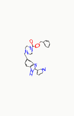 O=C(OCc1ccccc1)N1CCN(Cc2ccc3[nH]c(-c4cccnc4)nc3c2)CC1